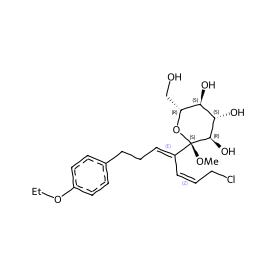 CCOc1ccc(CC/C=C(\C=C/CCl)[C@]2(OC)O[C@H](CO)[C@@H](O)[C@H](O)[C@H]2O)cc1